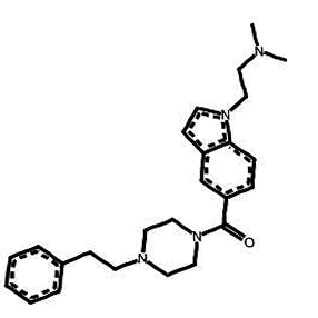 CN(C)CCn1ccc2cc(C(=O)N3CCN(CCc4ccccc4)CC3)ccc21